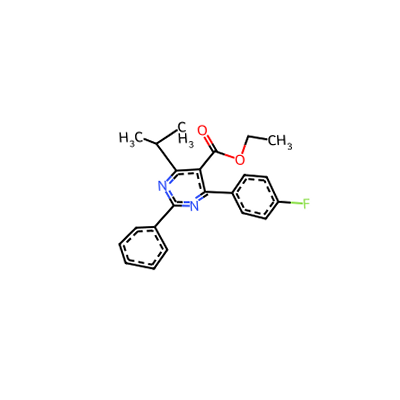 CCOC(=O)c1c(-c2ccc(F)cc2)nc(-c2ccccc2)nc1C(C)C